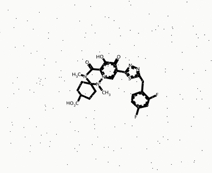 CN1C(=O)c2c(O)c(=O)c(-c3nnc(Cc4ccc(F)cc4F)s3)cn2N(C)C12CCC(C(=O)O)CC2